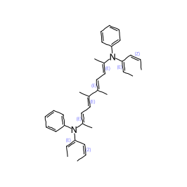 C/C=C\C(=C/C)N(/C(C)=C/C=C(C)/C(C)=C/C=C(\C)N(C(/C=C\C)=C/C)c1ccccc1)c1ccccc1